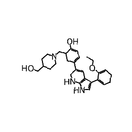 CCOC1=CCCC=C1c1c[nH]c2c1C=C(C1=CC=C(O)C(CN3CCC(CO)CC3)C1)CN2